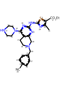 CCOC(=O)c1sc(Nc2nc3c(c(N4CCNCC4)n2)CCN(Cc2ccc(C#N)cc2)C3)nc1C